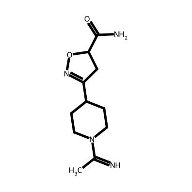 CC(=N)N1CCC(C2=NOC(C(N)=O)C2)CC1